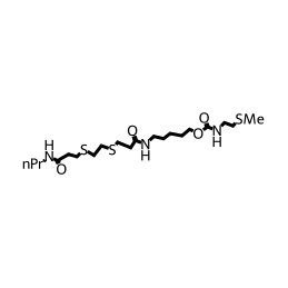 CCCNC(=O)CCSCCSCCC(=O)NCCCCCOC(=O)NCCSC